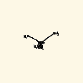 CCCCCCCCCCCCCCCCCC(=O)Oc1ccc(C(=O)CNC(C)(C)C)cc1OC(=O)CCCCCCCCCCCCCCCCC